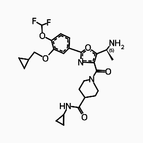 C[C@H](N)c1oc(-c2ccc(OC(F)F)c(OCC3CC3)c2)nc1C(=O)N1CCC(C(=O)NC2CC2)CC1